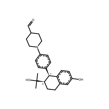 CC(C)(O)[C@@H]1CCc2cc(O)ccc2[C@@H]1c1ccc(N2CCC(C=O)CC2)cc1